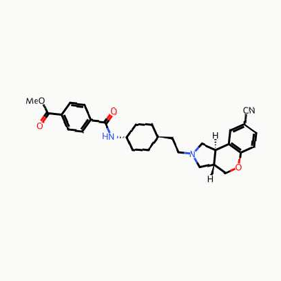 COC(=O)c1ccc(C(=O)N[C@H]2CC[C@H](CCN3C[C@H]4COc5ccc(C#N)cc5[C@@H]4C3)CC2)cc1